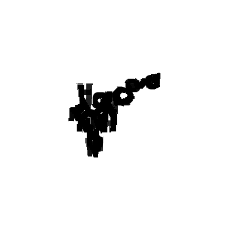 COCCO[C@H]1CC[C@H](NC(O)c2nc(-n3ccnc3)nc3nc[nH]c23)CC1